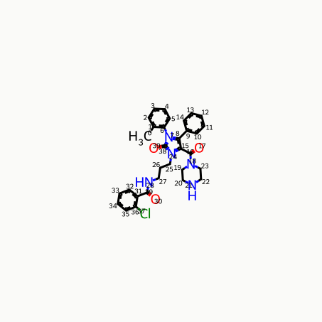 Cc1ccccc1-n1c(-c2ccccc2)c(C(=O)N2CCNCC2)n(CCCNC(=O)c2ccccc2Cl)c1=O